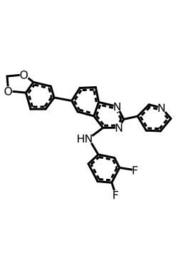 Fc1ccc(Nc2nc(-c3cccnc3)nc3ccc(-c4ccc5c(c4)OCO5)cc23)cc1F